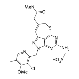 CNC(=O)CC1=Cc2nn(Cc3ncc(C)c(OC)c3Cl)c3nc(N)nc(c23)SC1.CS(=O)(=O)O